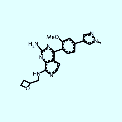 COc1cc(-c2cnn(C)c2)ccc1-c1nc(N)nc2c(NCC3CCO3)nccc12